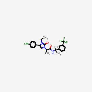 CCn1c(-c2ccc(Cl)cc2)cn(C(C)C(=O)NC(C)(C)c2cccc(C(F)(F)F)c2)c1=O